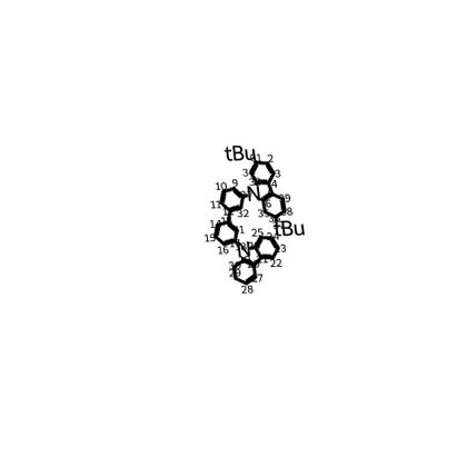 CC(C)(C)c1ccc2c3c(n(-c4cccc(-c5cccc(-n6c7c(c8ccccc86)C=CCC7)c5)c4)c2c1)CC(C(C)(C)C)C=C3